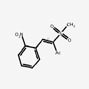 CC(=O)/C(=C\c1ccccc1[N+](=O)[O-])S(C)(=O)=O